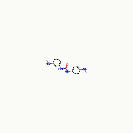 CNc1ccc(NC(=O)Nc2cccc(NC)c2)cc1